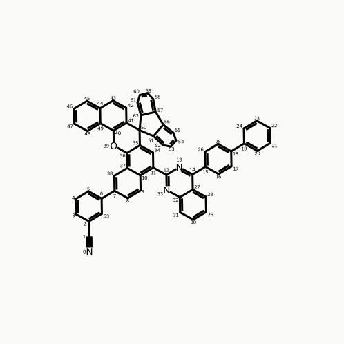 N#Cc1cccc(-c2ccc3c(-c4nc(-c5ccc(-c6ccccc6)cc5)c5ccccc5n4)cc4c(c3c2)Oc2c(ccc3ccccc23)C42c3ccccc3-c3ccccc32)c1